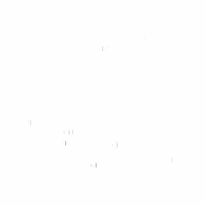 C[Si](C)(C)C1=C2C=[C]([Ti+4])C=C2C(C2=CC=CC2)=C1[Si](C)(C)C.[Cl-].[Cl-].[Cl-].[Cl-]